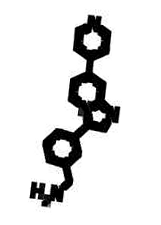 NCc1cccc(-c2cnc3cc(-c4ccncc4)ccn23)c1